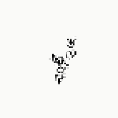 Cc1cn2c(-c3ccc(C(F)(F)F)cc3F)nc([C@H]3CCO[C@@H](c4cnn(C5CC5)c4)C3)cc2n1